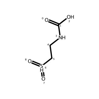 O=C(O)NCC[SH](=O)=O